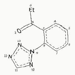 CCC(=O)c1ccccc1-n1ncnn1